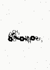 CC1S/C(=N\N=C\c2ccc(C(=N)/N=C\Nc3ccc(OC(F)(F)F)cc3)cc2)N(c2c(F)cccc2Cl)C1=O